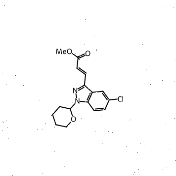 COC(=O)C=Cc1nn(C2CCCCO2)c2ccc(Cl)cc12